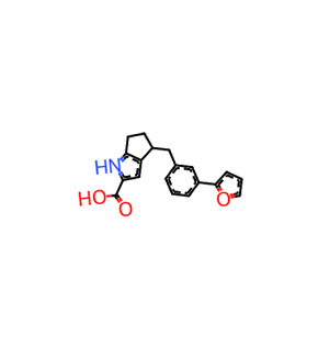 O=C(O)c1cc2c([nH]1)CCC2Cc1cccc(-c2ccco2)c1